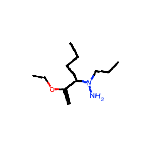 C=C(OCC)C(CCC)N(N)CCC